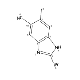 Cc1cc2[nH]c(C(C)C)nc2cc1C#N